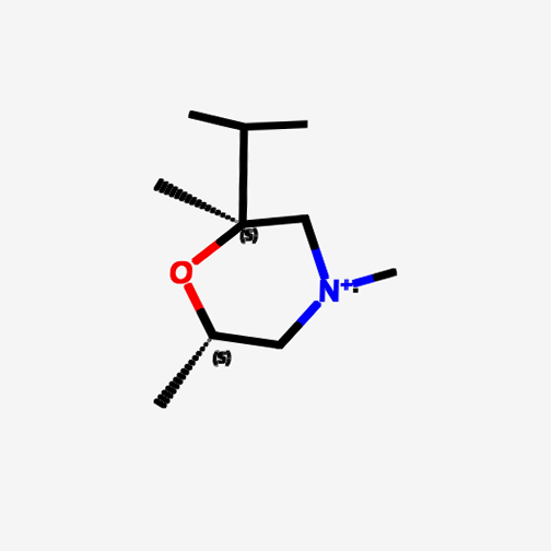 CC(C)[C@@]1(C)C[N+](C)C[C@H](C)O1